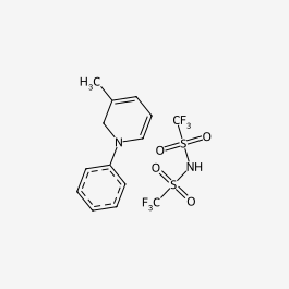 CC1=CC=CN(c2ccccc2)C1.O=S(=O)(NS(=O)(=O)C(F)(F)F)C(F)(F)F